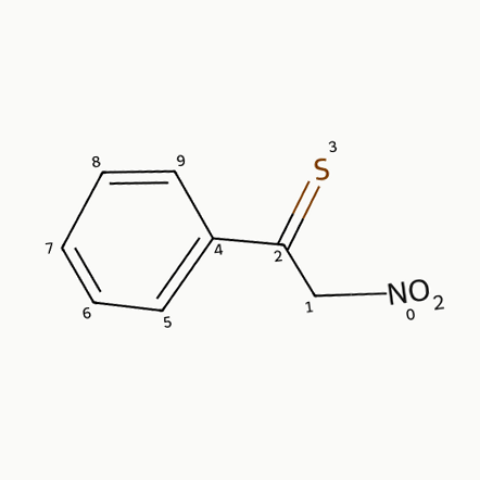 O=[N+]([O-])CC(=S)c1ccccc1